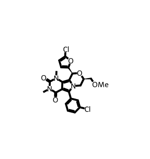 COC[C@H]1Cn2c(-c3cccc(Cl)c3)c3c(=O)n(C)c(=O)n(C)c3c2[C@@H](c2ccc(Cl)o2)O1